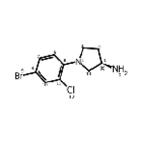 N[C@@H]1CCN(c2ccc(Br)cc2Cl)C1